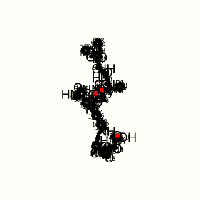 COc1ccc(C#CCNC2(C)CCN(C3CCN(c4nc([C@@](COCNC(=O)CNC(=O)[C@H](Cc5ccccc5)NC(=O)CNC(=O)CNC(=O)CCN5C(=O)C(Sc6ccccc6)=C(Sc6ccccc6)C5=O)(OC5CC5)c5ccccc5)c5cc(-c6cn(C)c(=O)c7[nH]ccc67)ccc5n4)CC3)CC2)cc1N1CCC(=O)N(CNC(=O)[C@H](CC(=O)O)NC(C)=O)C1=O